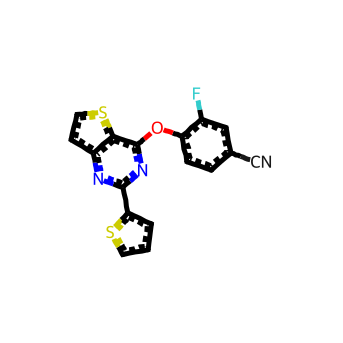 N#Cc1ccc(Oc2nc(-c3cccs3)nc3ccsc23)c(F)c1